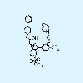 CS(=O)(=O)N1CCc2c(c(-c3ccc(C(F)(F)F)c(SCCN4CCOCC4)c3)nn2CC(O)CN2CCC(c3ccccc3)CC2)C1